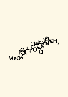 COCc1cc(CCCOc2c(Cl)cc(-c3noc(C)n3)cc2Cl)on1